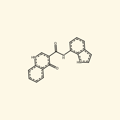 O=C(Nc1cccc2cc[nH]c12)c1c[nH]c2ccccc2c1=O